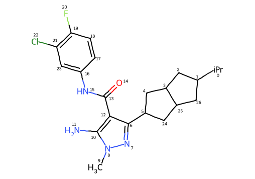 CC(C)C1CC2CC(c3nn(C)c(N)c3C(=O)Nc3ccc(F)c(Cl)c3)CC2C1